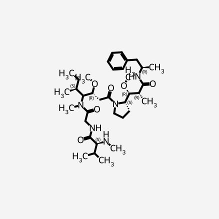 CC[C@H](C)C([C@@H](CC(=O)N1CCC[C@H]1[C@H](OC)[C@@H](C)C(=O)N[C@H](C)Cc1ccccc1)OC)N(C)C(=O)CNC(=O)[C@@H](NC)C(C)C